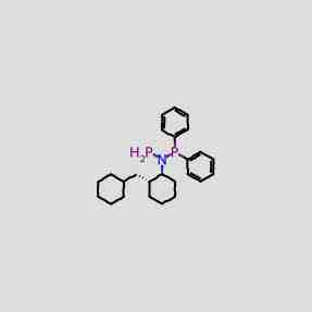 PN([C@H]1CCCC[C@@H]1CC1CCCCC1)P(c1ccccc1)c1ccccc1